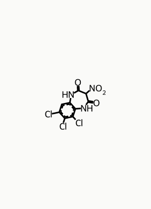 O=C1Nc2cc(Cl)c(Cl)c(Cl)c2NC(=O)C1[N+](=O)[O-]